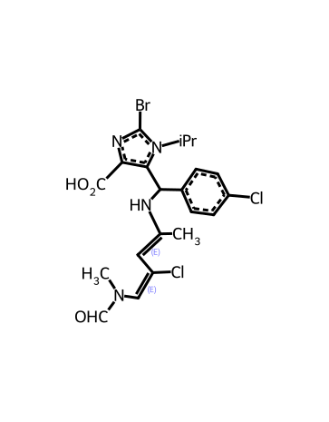 C/C(=C\C(Cl)=C/N(C)C=O)NC(c1ccc(Cl)cc1)c1c(C(=O)O)nc(Br)n1C(C)C